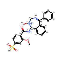 COc1cc(S(C)(=O)=O)ccc1C(=O)NC1c2ccccc2C(c2ccccc2)=NC[NH+]1[O-]